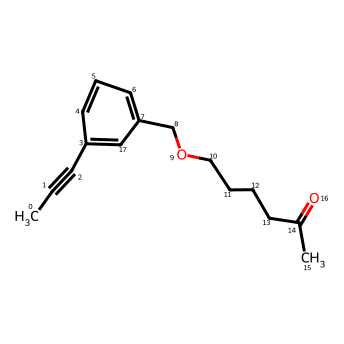 CC#Cc1cccc(COCCCCC(C)=O)c1